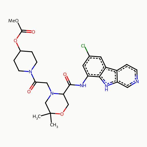 COC(=O)OC1CCN(C(=O)CN2CC(C)(C)OCC2C(=O)Nc2cc(Cl)cc3c2[nH]c2cnccc23)CC1